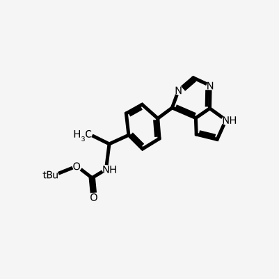 CC(NC(=O)OC(C)(C)C)c1ccc(-c2ncnc3[nH]ccc23)cc1